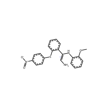 COc1ccccc1N/C(=C\N)c1ccccc1Sc1ccc([N+](=O)[O-])cc1